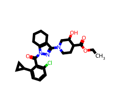 CCOC(=O)C1CCN(c2nn(C(=O)c3c(Cl)cccc3C3CC3)c3c2CCCC3)CC1O